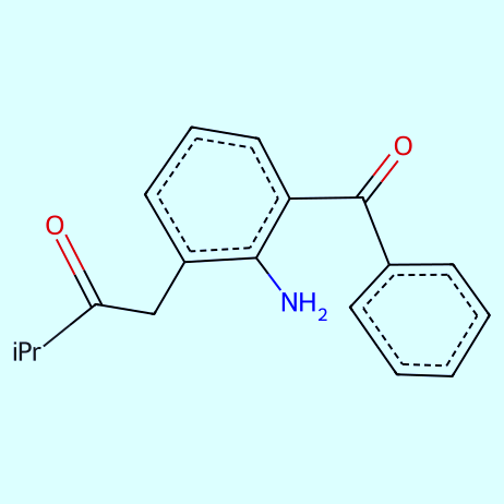 CC(C)C(=O)Cc1cccc(C(=O)c2ccccc2)c1N